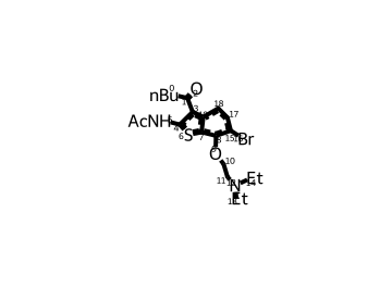 CCCCC(=O)c1c(NC(C)=O)sc2c(OCCN(CC)CC)c(Br)ccc12